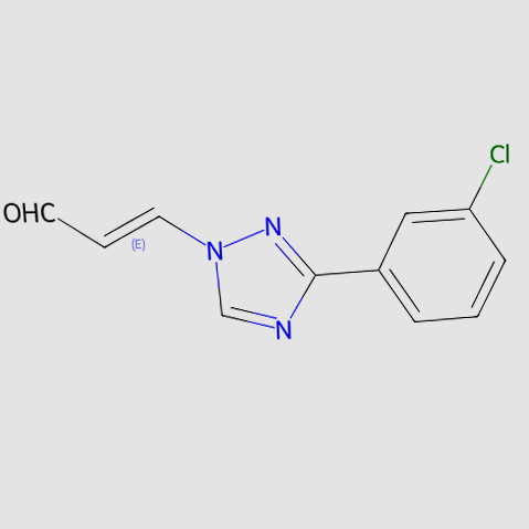 O=C/C=C/n1cnc(-c2cccc(Cl)c2)n1